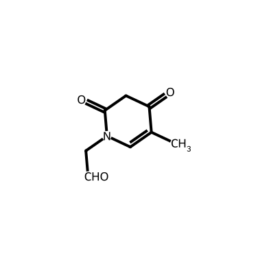 CC1=CN(CC=O)C(=O)CC1=O